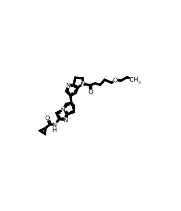 CCCOCCCCC(=O)N1CCc2ncc(-c3ccc4nc(NC(=O)C5CC5)cn4c3)cc21